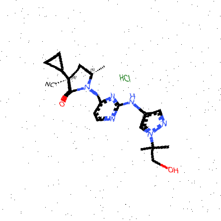 C[C@H]1C[C@](C#N)(C2CC2)C(=O)N1c1ccnc(Nc2cnn(C(C)(C)CO)c2)n1.Cl